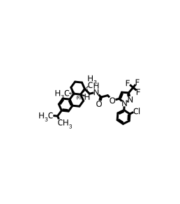 CC(C)c1ccc2c(c1)CC[C@H]1[C@](C)(CNC(=O)COc3cc(C(F)(F)F)nn3-c3ccccc3Cl)CCC[C@]21C